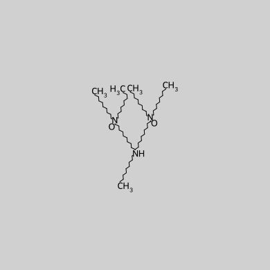 CCCCCCCCCCNC(CCCCCCCCC(=O)N(CCCCCCCCCC)CCCCCCCCCC)CCCCCCCCC(=O)N(CCCCCCCCCC)CCCCCCCCCC